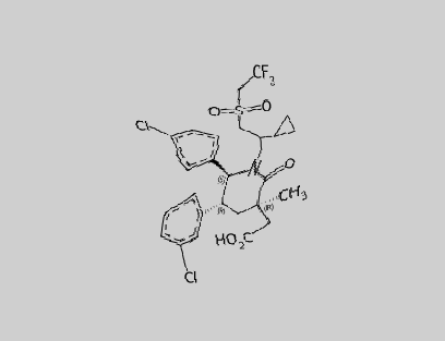 C[C@]1(CC(=O)O)C[C@H](c2cccc(Cl)c2)[C@@H](c2ccc(Cl)cc2)N(C(CS(=O)(=O)CC(F)(F)F)C2CC2)C1=O